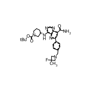 CC1(F)CN(Cc2ccc(-c3cc(C(N)=O)c4ncnc(N[C@H]5CCCN(C(=O)OC(C)(C)C)C5)c4n3)cc2)C1